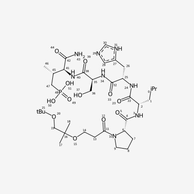 CC(C)C[C@H](NC(=O)[C@@H]1CCCN1C(=O)CCOC(C)(C)COC(C)(C)C)C(=O)N[C@@H](Cc1cnc[nH]1)C(=O)N[C@@H](CO)C(=O)N[C@H](C(N)=O)[C@@H](C)CP(=O)(O)O